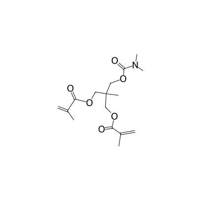 C=C(C)C(=O)OCC(C)(COC(=O)C(=C)C)COC(=O)N(C)C